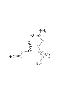 C=CCOC(=O)C(CC(N)=O)S(=O)(=O)O.CCOCC